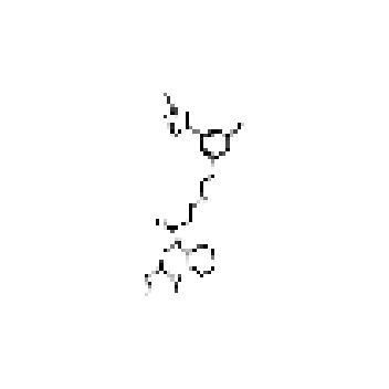 COC(CN(C(=O)CCOCCc1cc(F)cc(-c2cnn(C)c2)c1)C1CCCCC1)OC